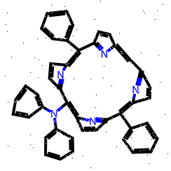 C1=CC2=NC1=CC1=NC(=C(c3ccccc3)C3=NC(=C(N(c4ccccc4)c4ccccc4)C4=NC(=C2c2ccccc2)C=C4)C=C3)C=C1